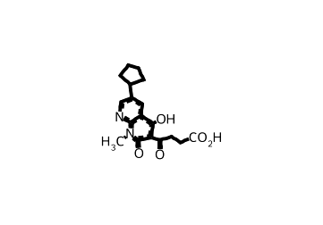 Cn1c(=O)c(C(=O)CCC(=O)O)c(O)c2cc(C3CCCC3)cnc21